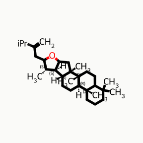 C=C(CC1OC2C[C@@]3(C)[C@H](CC[C@@H]4[C@@]5(C)CCCC(C)(C)C5CC[C@]43C)[C@H]2[C@@H]1C)C(C)C